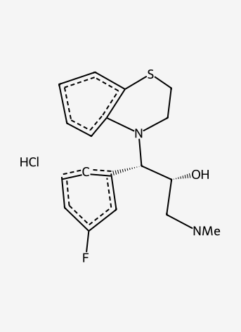 CNC[C@@H](O)[C@H](c1cccc(F)c1)N1CCSc2ccccc21.Cl